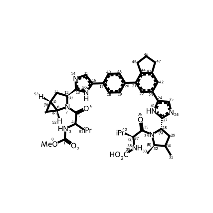 COC(=O)NC(C(=O)N1[C@@H]2C[C@@H]2C[C@H]1c1ncc(-c2ccc(-c3cc(-c4cnc([C@@H]5CC(C)[C@@H](C)N5C(=O)[C@@H](NC(=O)O)C(C)C)[nH]4)cc4c3CCC4)cc2)[nH]1)C(C)C